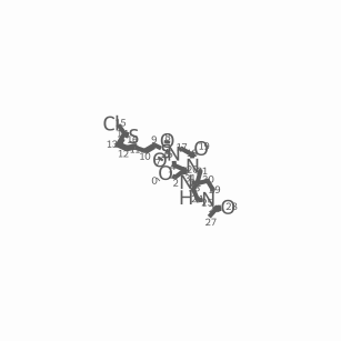 COCC12CN(S(=O)(=O)C=Cc3ccc(Cl)s3)CC(=O)N1CC1(CCN(C(C)=O)CC1)N2